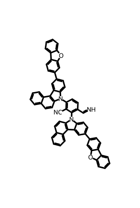 N#Cc1c(-n2c3ccc(-c4ccc5c(c4)oc4ccccc45)cc3c3c4ccccc4ccc32)ccc(C=N)c1-n1c2ccc(-c3ccc4c(c3)oc3ccccc34)cc2c2c3ccccc3ccc21